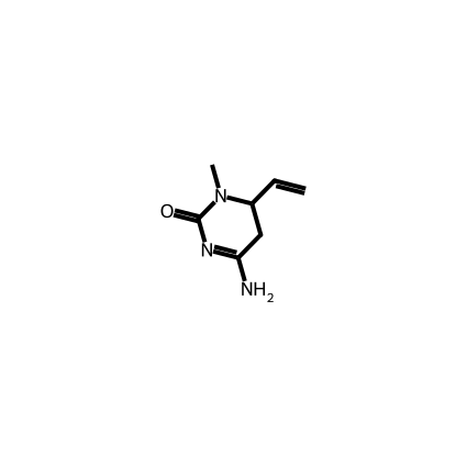 C=CC1CC(N)=NC(=O)N1C